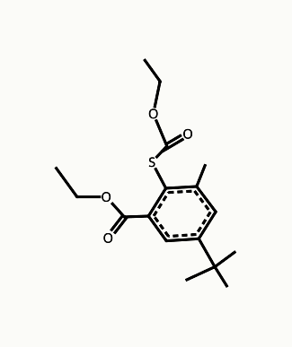 CCOC(=O)Sc1c(C)cc(C(C)(C)C)cc1C(=O)OCC